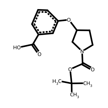 CC(C)(C)OC(=O)N1CCC(Oc2cccc(C(=O)O)c2)C1